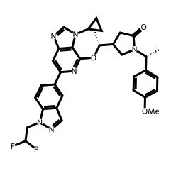 COc1ccc([C@@H](C)N2CC([C@@H](C)Oc3nc(-c4ccc5c(cnn5CC(F)F)c4)cc4ncn(C5CC5)c34)CC2=O)cc1